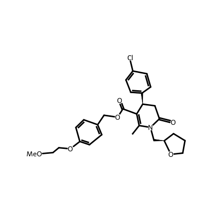 COCCOc1ccc(COC(=O)C2=C(C)N(C[C@H]3CCCO3)C(=O)C[C@@H]2c2ccc(Cl)cc2)cc1